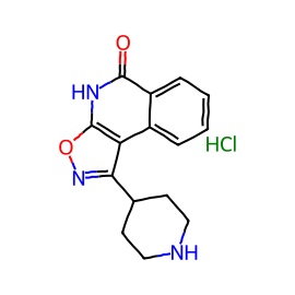 Cl.O=c1[nH]c2onc(C3CCNCC3)c2c2ccccc12